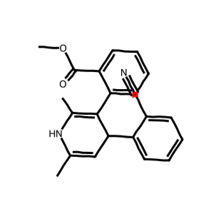 COC(=O)c1cccnc1C1=C(C)NC(C)=CC1c1ccccc1C#N